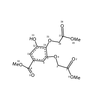 COC(=O)COc1cc(C(=O)OC)cc(O)c1OCC(=O)OC